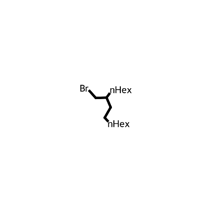 CCCCCCCCC(CBr)CCCCCC